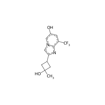 CC1(O)CC(c2cn3cc(O)cc(C(F)(F)F)c3n2)C1